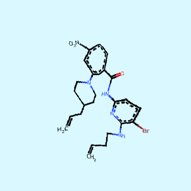 C=CCCNc1nc(NC(=O)c2ccc([N+](=O)[O-])cc2N2CCC(CC=C)CC2)ccc1Br